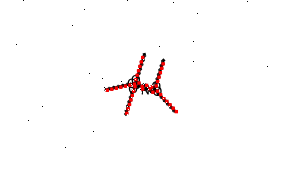 CCCCCCCCCCCCOc1ccc(-c2ccc(-c3cc(OCCCCCCCCCCCC)c(OCCCCCCCCCCCC)c(OCCCCCCCCCCCC)c3)cn2)cc1OCCCCCCCCCCCC